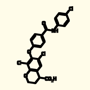 O=C(Nc1ccc(Cl)cc1)c1ccc(Oc2c(Cl)cc3c(c2Cl)OCCC3C(=O)O)cc1